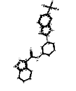 O=C(N[C@@H]1CCC[C@H](c2nc3cc(C(F)(F)F)ccc3[nH]2)C1)c1n[nH]c2c1CCCC2